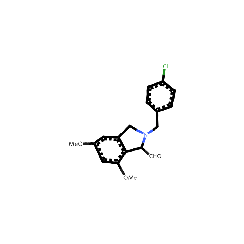 COc1cc2c(c(OC)c1)C(C=O)N(Cc1ccc(Cl)cc1)C2